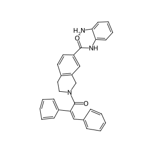 Nc1ccccc1NC(=O)c1ccc2c(c1)CN(C(=O)/C(=C\c1ccccc1)c1ccccc1)CC2